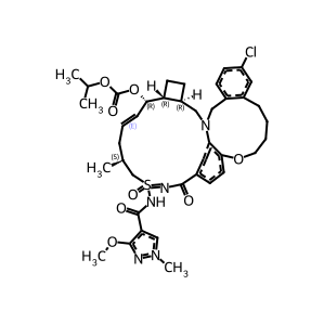 COc1nn(C)cc1C(=O)NS1(=O)=NC(=O)c2ccc3c(c2)N(Cc2ccc(Cl)cc2CCCCO3)C[C@@H]2CC[C@H]2[C@@H](OC(=O)OC(C)C)/C=C/C[C@H](C)C1